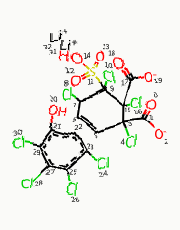 O=C([O-])C1(Cl)C=CC(Cl)C(Cl)(S(=O)(=O)O)C1(Cl)C(=O)[O-].Oc1cc(Cl)c(Cl)c(Cl)c1Cl.[Li+].[Li+]